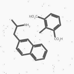 CC(N)Cc1ccc2ccccc2c1.Cc1c(C(=O)O)cccc1C(=O)O